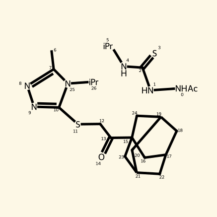 CC(=O)NNC(=S)NC(C)C.Cc1nnc(SCC(=O)C23CC4CC(CC(C4)C2)C3)n1C(C)C